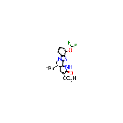 CC(C)(C)C1Cn2c(nc3c(OC(F)F)cccc32)-c2[nH]c(=O)c(C(=O)O)cc21